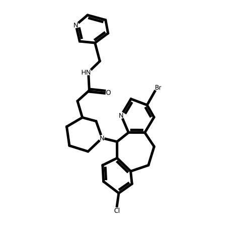 O=C(CC1CCCN(C2c3ccc(Cl)cc3CCc3cc(Br)cnc32)C1)NCc1cccnc1